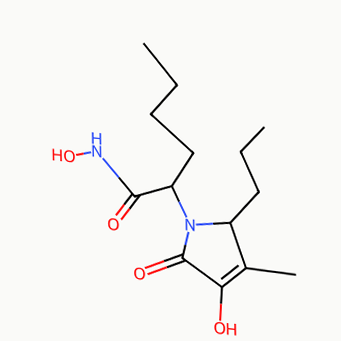 CCCCC(C(=O)NO)N1C(=O)C(O)=C(C)C1CCC